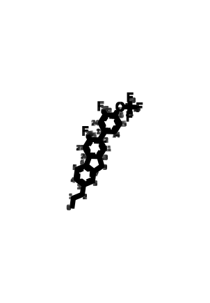 CCCc1ccc2c(c1)Cc1cc(-c3ccc(OC(F)(F)F)c(F)c3)c(F)cc1-2